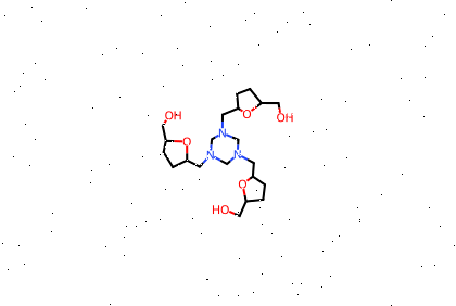 OCC1CCC(CN2CN(CC3CCC(CO)O3)CN(CC3CCC(CO)O3)C2)O1